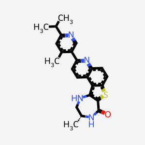 Cc1cc(C(C)C)ncc1-c1ccc2c(ccc3sc4c(c32)NC[C@@H](C)NC4=O)n1